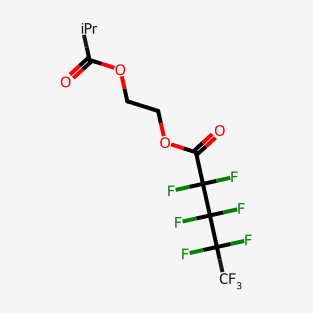 CC(C)C(=O)OCCOC(=O)C(F)(F)C(F)(F)C(F)(F)C(F)(F)F